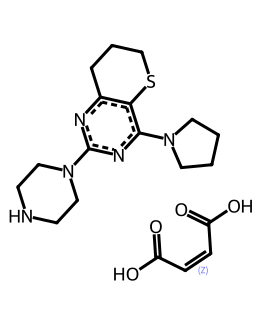 C1CSc2c(nc(N3CCNCC3)nc2N2CCCC2)C1.O=C(O)/C=C\C(=O)O